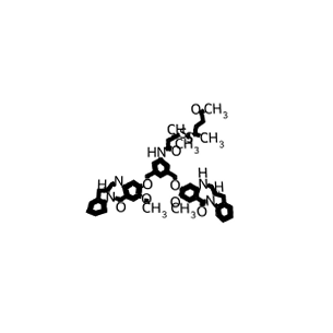 COc1cc2c(cc1OCc1cc(COc3cc4c(cc3OC)C(=O)N3c5ccccc5C[C@H]3CN4)cc(NC(=O)CC(C)(C)SSC(C)CCC(C)=O)c1)N=C[C@@H]1Cc3ccccc3N1C2=O